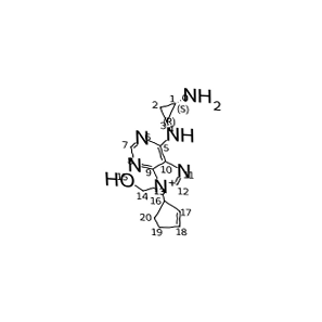 N[C@H]1C[C@H]1Nc1ncnc2c1N=C[N+]2(CO)C1C=CCC1